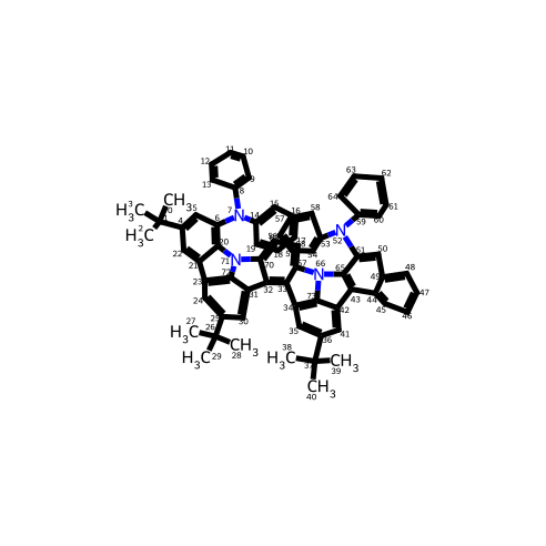 CC(C)(C)c1cc(N(c2ccccc2)c2ccccc2)c2c(c1)c1cc(C(C)(C)C)cc3c4c5c6cc(C(C)(C)C)cc7c8c9ccccc9cc(N(c9ccccc9)c9ccccc9)c8n(c5ccc4n2c13)c67